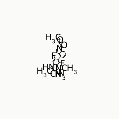 COCC(=O)n1ccc2c(-c3c(F)cc4c(c3F)-n3c(C)nnc3C(C)(C)N4)cccc21